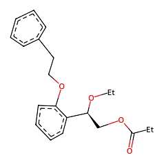 CCO[C@@H](COC(=O)CC)c1ccccc1OCCc1ccccc1